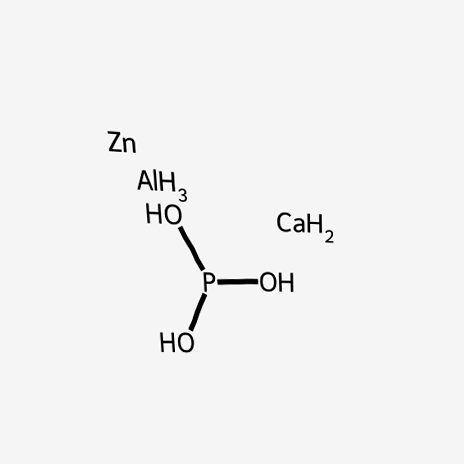 OP(O)O.[AlH3].[CaH2].[Zn]